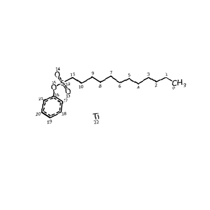 CCCCCCCCCCCCS(=O)(=O)Oc1ccccc1.[Ti]